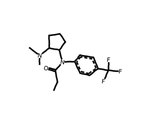 CCC(=O)N(c1ccc(C(F)(F)F)cc1)C1CCCC1N(C)C